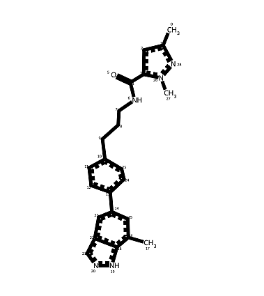 Cc1cc(C(=O)NCCCc2ccc(-c3cc(C)c4[nH]ncc4c3)cc2)n(C)n1